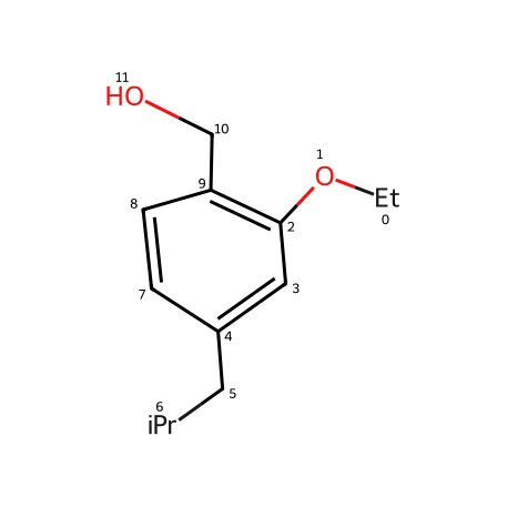 CCOc1cc(CC(C)C)ccc1CO